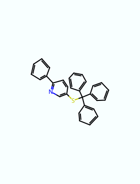 c1ccc(-c2ccc(SC(c3ccccc3)(c3ccccc3)c3ccccc3)cn2)cc1